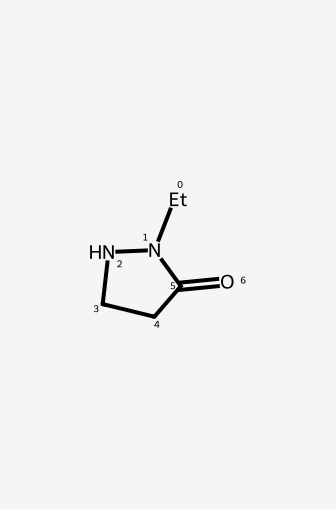 CCN1NCCC1=O